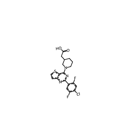 O=C(O)CC1CCCN(c2nc(-c3cc(F)c(Cl)cc3F)nc3ccsc23)C1